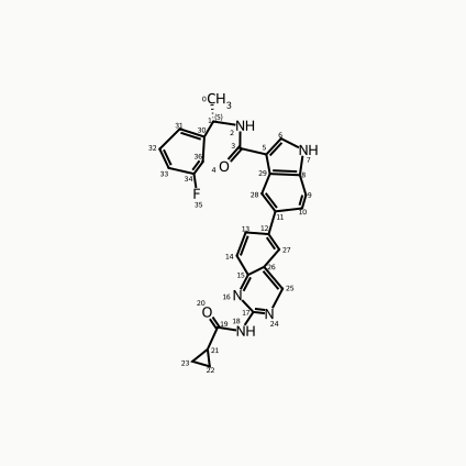 C[C@H](NC(=O)c1c[nH]c2ccc(-c3ccc4nc(NC(=O)C5CC5)ncc4c3)cc12)c1cccc(F)c1